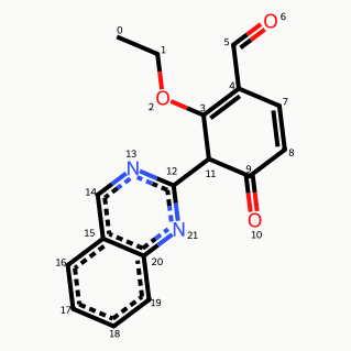 CCOC1=C(C=O)C=CC(=O)C1c1ncc2ccccc2n1